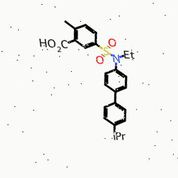 CCN(c1ccc(-c2ccc(C(C)C)cc2)cc1)S(=O)(=O)c1ccc(C)c(C(=O)O)c1